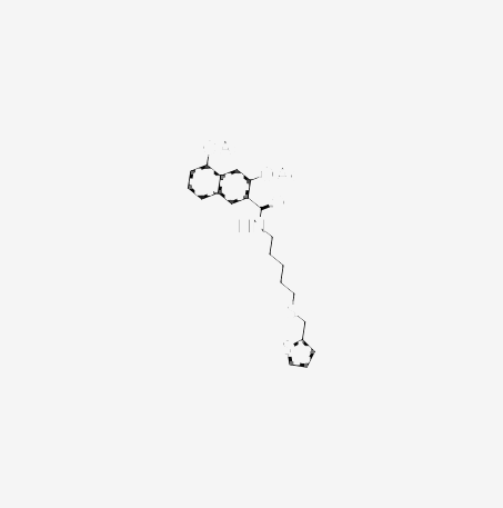 CC(=O)Oc1cc2c(OC(C)=O)cccc2cc1C(=O)NCCCCCSCc1cccs1